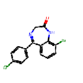 O=C1CN=C(c2ccc(Cl)cc2)c2cccc(Br)c2N1